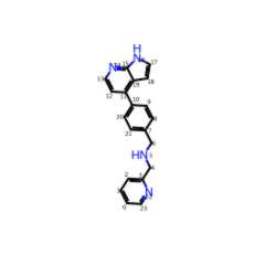 c1ccc(CNCc2ccc(-c3ccnc4[nH]ccc34)cc2)nc1